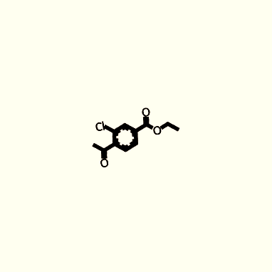 CCOC(=O)c1ccc(C(C)=O)c(Cl)c1